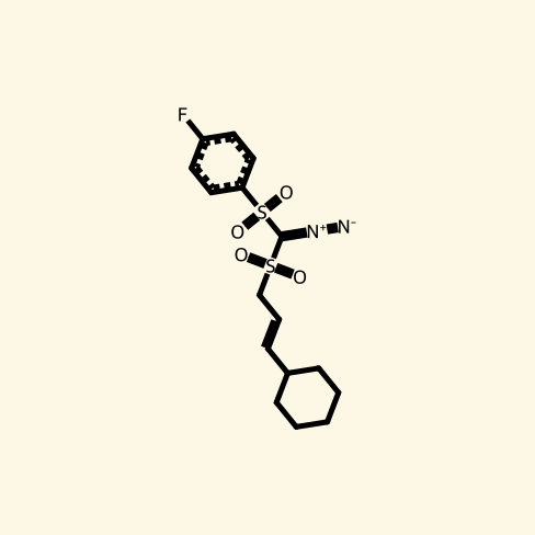 [N-]=[N+]=C(S(=O)(=O)CC=CC1CCCCC1)S(=O)(=O)c1ccc(F)cc1